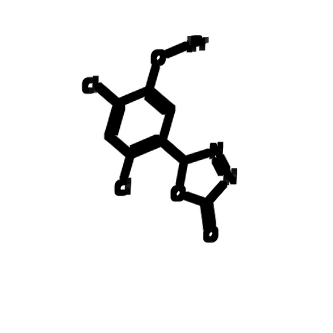 CC(C)Oc1cc(C2N=NC(=O)O2)c(Cl)cc1Cl